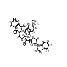 CCC[C@H]1N(C(=O)c2cnccc2C(F)(F)F)CCC[C@@]1(Oc1ccc(C(F)(F)F)cc1)C(=O)N1CC[C@@H](n2cnc3ccccc32)C1